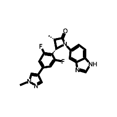 C[C@@H]1C(=O)N(c2ccc3[nH]cnc3c2)[C@@H]1c1c(F)cc(-c2cnn(C)c2)cc1F